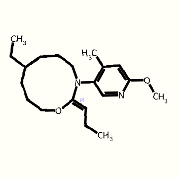 CC/C=C1\OCCCC(CC)CCCN1c1cnc(OC)cc1C